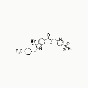 CCS(=O)(=O)c1ccc(CNC(=O)c2ccc3c(c2)nc(C[C@H]2CC[C@@H](C(F)(F)F)CC2)n3CC(C)C)nc1